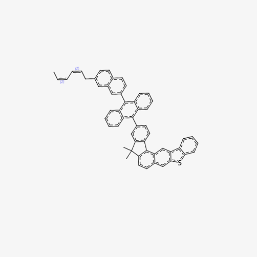 C/C=C\C=C/Cc1ccc2ccc(-c3c4ccccc4c(-c4ccc5c(c4)C(C)(C)c4ccc6cc7sc8ccccc8c7cc6c4-5)c4ccccc34)cc2c1